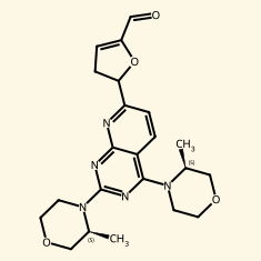 C[C@H]1COCCN1c1nc(N2CCOC[C@@H]2C)c2ccc(C3CC=C(C=O)O3)nc2n1